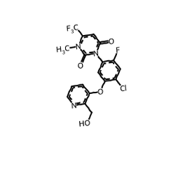 Cn1c(C(F)(F)F)cc(=O)n(-c2cc(Oc3cccnc3CO)c(Cl)cc2F)c1=O